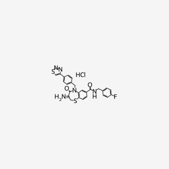 Cl.N[C@H]1CSc2ccc(C(=O)NCc3ccc(F)cc3)cc2N(Cc2ccc(-c3csnn3)cc2)C1=O